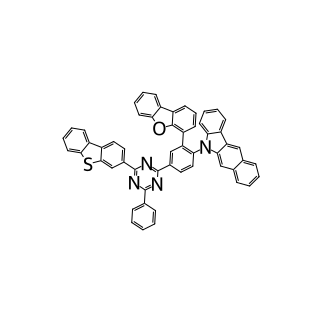 c1ccc(-c2nc(-c3ccc(-n4c5ccccc5c5cc6ccccc6cc54)c(-c4cccc5c4oc4ccccc45)c3)nc(-c3ccc4c(c3)sc3ccccc34)n2)cc1